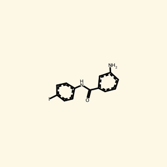 Nc1cccc(C(=O)Nc2ccc(I)cc2)c1